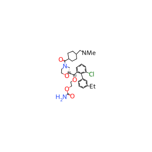 CCc1cccc(-c2c(Cl)cccc2[C@H](OCCOC(N)=O)[C@H]2CN(C(=O)C3CCC(CNC)CC3)CCO2)c1